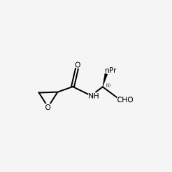 CCC[C@@H](C=O)NC(=O)C1CO1